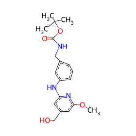 COc1cc(CO)cc(Nc2cccc(CNC(=O)OC(C)(C)C)c2)n1